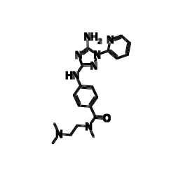 CN(C)CCN(C)C(=O)c1ccc(Nc2nc(N)n(-c3ccccn3)n2)cc1